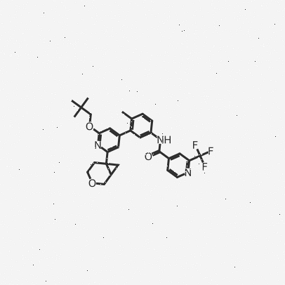 Cc1ccc(NC(=O)c2ccnc(C(F)(F)F)c2)cc1-c1cc(OCC(C)(C)C)nc(C23CCOCC2C3)c1